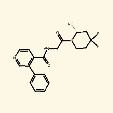 N#C[C@@H]1CC(F)(F)CCN1C(=O)CNC(=O)c1ccncc1-c1ccccc1